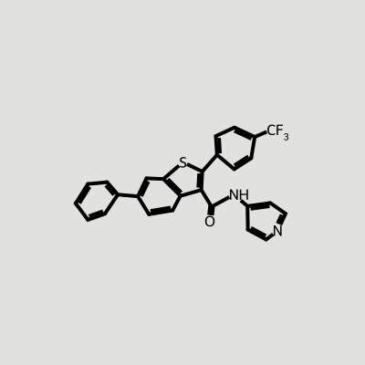 O=C(Nc1ccncc1)c1c(-c2ccc(C(F)(F)F)cc2)sc2cc(-c3ccccc3)ccc12